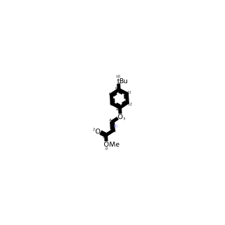 COC(=O)/C=C/Oc1ccc(C(C)(C)C)cc1